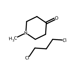 CN1CCC(=O)CC1.ClCCCCl